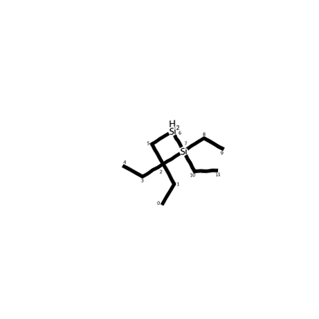 CCC1(CC)C[SiH2][Si]1(CC)CC